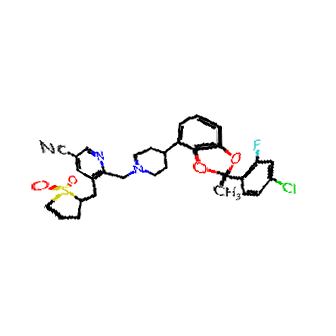 CC1(c2ccc(Cl)cc2F)Oc2cccc(C3CCN(Cc4ncc(C#N)cc4CC4CCCS4(=O)=O)CC3)c2O1